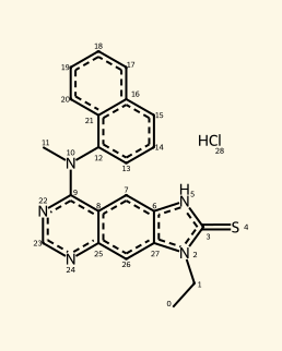 CCn1c(=S)[nH]c2cc3c(N(C)c4cccc5ccccc45)ncnc3cc21.Cl